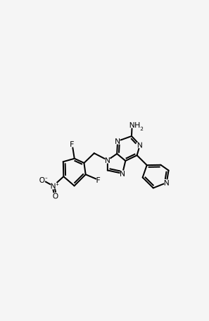 Nc1nc(-c2ccncc2)c2ncn(Cc3c(F)cc([N+](=O)[O-])cc3F)c2n1